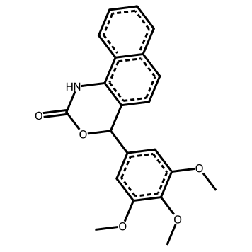 COc1cc(C2OC(=O)Nc3c2ccc2ccccc32)cc(OC)c1OC